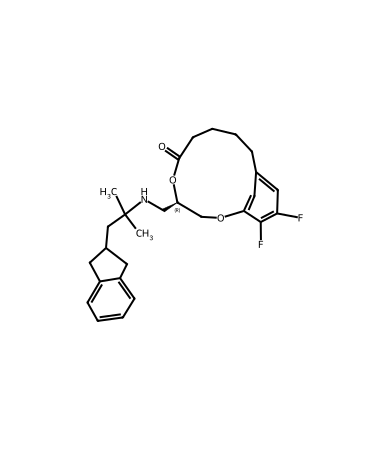 CC(C)(CC1Cc2ccccc2C1)NC[C@@H]1COc2cc(cc(F)c2F)CCCCC(=O)O1